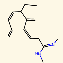 C=C/C=C\C(CC)C(=C)/C=C\C/C(=N\C)NC